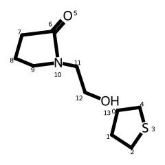 C1CCSC1.O=C1CCCN1CCO